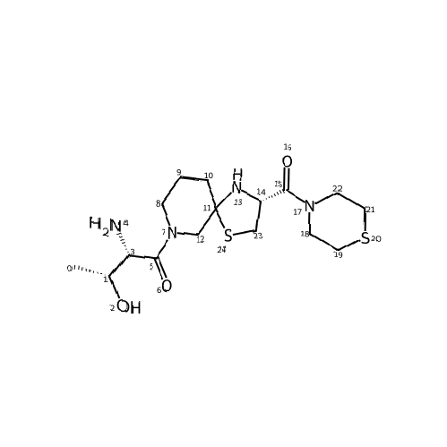 C[C@@H](O)[C@H](N)C(=O)N1CCCC2(C1)N[C@H](C(=O)N1CCSCC1)CS2